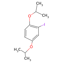 CC(C)Oc1ccc(OC(C)C)c(I)c1